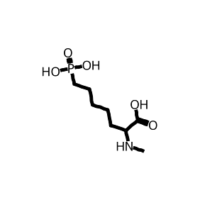 CNC(CCCCCP(=O)(O)O)C(=O)O